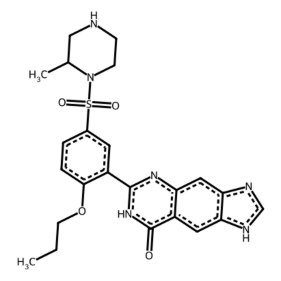 CCCOc1ccc(S(=O)(=O)N2CCNCC2C)cc1-c1nc2cc3nc[nH]c3cc2c(=O)[nH]1